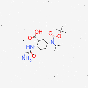 CC(C)N(C(=O)OC(C)(C)C)[C@@H]1CC[C@H](NC(=O)CN)[C@H](C(=O)O)C1